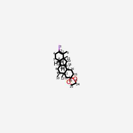 CC1=C(I)CC[C@H]2[C@@H]3C[C@H](C)[C@@]4(C)CC5(CC[C@]4(C)[C@H]3C[C@@]12C)OCCO5